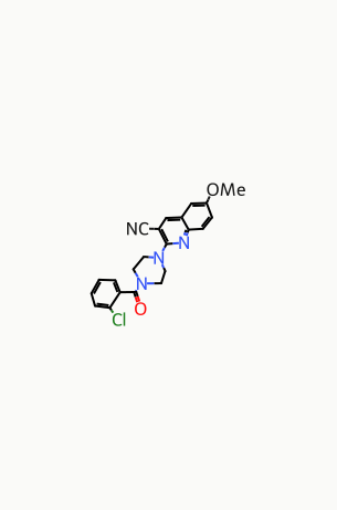 COc1ccc2nc(N3CCN(C(=O)c4ccccc4Cl)CC3)c(C#N)cc2c1